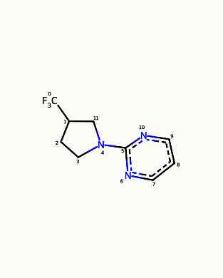 FC(F)(F)C1CCN(c2ncccn2)C1